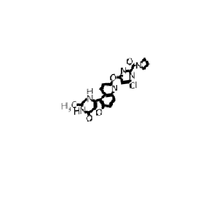 CC1CNc2c(oc3ccc4nc(Oc5cc(Cl)nc(C(=O)N6CCC6)n5)ccc4c23)C(=O)N1